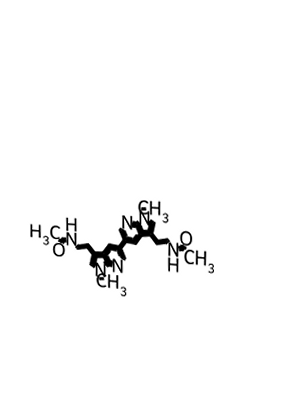 CC(=O)NCCc1cn(C)c2ncc(-c3cnc4c(c3)c(CCNC(C)=O)cn4C)cc12